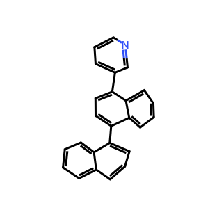 c1cncc(-c2ccc(-c3cccc4ccccc34)c3ccccc23)c1